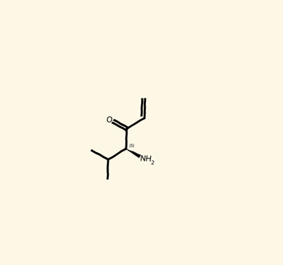 C=CC(=O)[C@@H](N)C(C)C